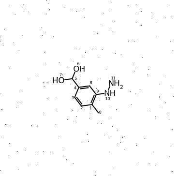 Cc1ccc(C(O)O)cc1NN